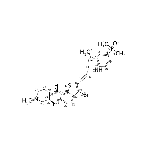 COc1cc(P(C)(C)=O)ccc1NCC#Cc1sc2c(N[C@H]3CCN(C)C[C@@H]3F)cccc2c1Br